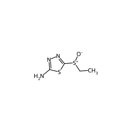 CC[S+]([O-])c1nnc(N)s1